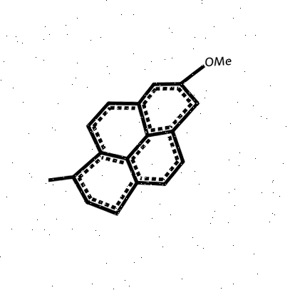 COc1cc2ccc3ccc(C)c4ccc(c1)c2c34